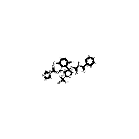 O=C(NC(=S)N[C@@]1(c2cc(Br)ccc2F)CO[C@H](C(F)(F)F)[C@H]1COC(=O)n1ccnc1)c1ccccc1